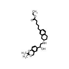 CCOC(=O)CCCCc1ccc2c(c1)C[C@@H](NC[C@@H](O)c1ccc3c(c1)COC(C)(C)O3)CC2